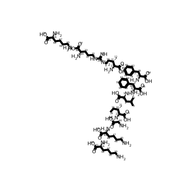 CC(C)C[C@H](N)C(=O)O.CC[C@H](C)[C@H](N)C(=O)O.CC[C@H](C)[C@H](N)C(=O)O.N=C(N)NCCC[C@H](N)C(=O)O.NCC(=O)O.NCCCC[C@H](N)C(=O)O.NCCCC[C@H](N)C(=O)O.NCCCC[C@H](N)C(=O)O.N[C@@H](Cc1ccccc1)C(=O)O.N[C@@H](Cc1ccccc1)C(=O)O